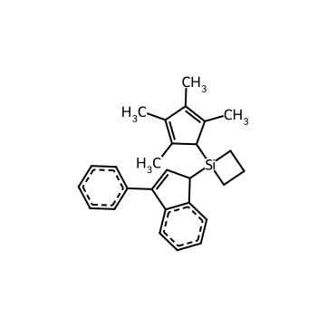 CC1=C(C)C([Si]2(C3C=C(c4ccccc4)c4ccccc43)CCC2)C(C)=C1C